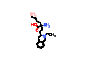 BCCCCC(N)(CCC1Cc2ccccc2CN1CC)C(=O)O